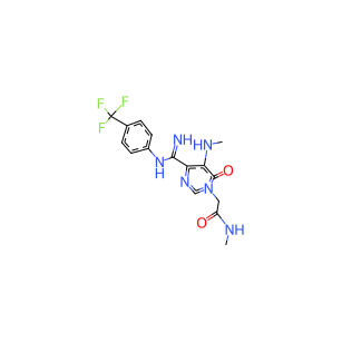 CNC(=O)Cn1cnc(C(=N)Nc2ccc(C(F)(F)F)cc2)c(NC)c1=O